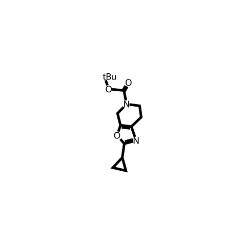 CC(C)(C)OC(=O)N1CCc2nc(C3CC3)oc2C1